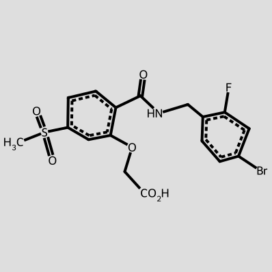 CS(=O)(=O)c1ccc(C(=O)NCc2ccc(Br)cc2F)c(OCC(=O)O)c1